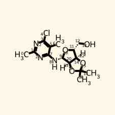 Cc1nc(Cl)c(C)c(N[C@@H]2O[C@H](CO)[C@H]3OC(C)(C)O[C@H]32)n1